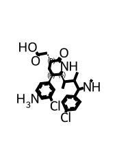 CNC(c1ccc(Cl)cc1)C(C)C(C)[C@@H]1NC(=O)[C@@H](CC(=O)O)C[C@@H]1c1cccc(Cl)c1.N